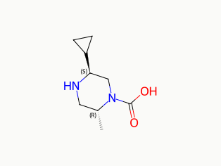 C[C@@H]1CN[C@@H](C2CC2)CN1C(=O)O